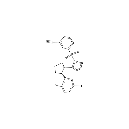 N#Cc1cccc(S(=O)(=O)n2nccc2N2CCC[C@@H]2c2cc(F)ccc2F)c1